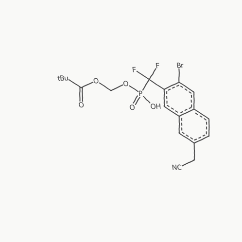 CC(C)(C)C(=O)OCOP(=O)(O)C(F)(F)c1cc2cc(CC#N)ccc2cc1Br